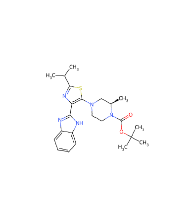 CC(C)c1nc(-c2nc3ccccc3[nH]2)c(N2CCN(C(=O)OC(C)(C)C)[C@H](C)C2)s1